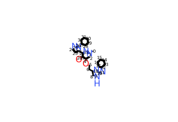 Cn1cc(OCCC2CNc3nc4ccccc4n32)c(=O)c(-c2ccnn2-c2ccccc2)n1